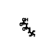 CC(C)(C)C=CC(=O)CC(=O)O